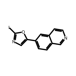 Ic1ncc(-c2ccc3cnccc3c2)o1